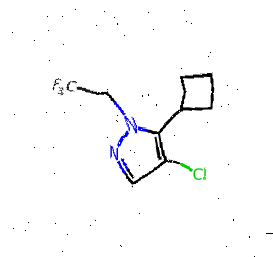 FC(F)(F)Cn1n[c]c(Cl)c1C1CCC1